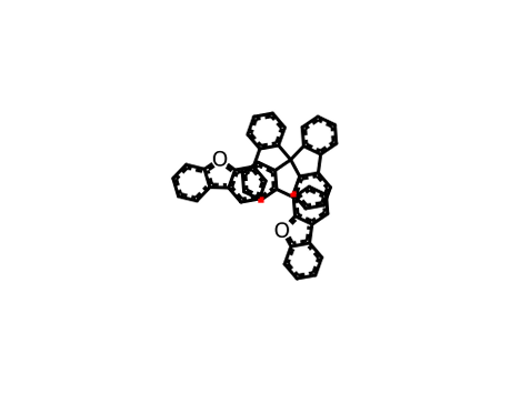 c1ccc2c(c1)-c1ccccc1C2(c1ccccc1-c1cccc2c1oc1ccccc12)c1ccccc1-c1cccc2c1oc1ccccc12